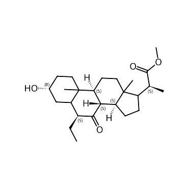 CC[C@@H]1C(=O)[C@H]2[C@@H]3CCC([C@H](C)C(=O)OC)C3(C)CC[C@@H]2C2(C)CC[C@@H](O)CC12